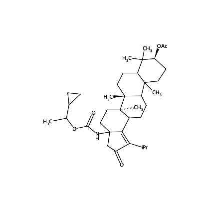 CC(=O)O[C@H]1CCC2(C)C(CC[C@]3(C)C2CCC2C4=C(C(C)C)C(=O)CC4(NC(=O)OC(C)C4CC4)CC[C@]23C)C1(C)C